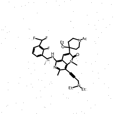 CCOC1(c2cc3c(N[C@H](C)c4cccc(C(F)F)c4F)nc(C)c(C#CCN(CC)CC)c3n(C)c2=O)CCN(C(C)=O)CC1